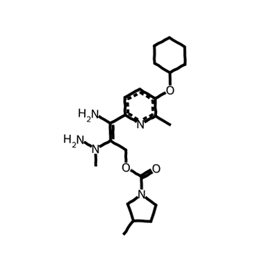 Cc1nc(/C(N)=C(\COC(=O)N2CCC(C)C2)N(C)N)ccc1OC1CCCCC1